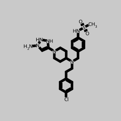 CS(=O)(=O)Nc1ccc(CN(CCc2ccc(Cl)cc2)C2CCN(C3=CN(N)NN3)CC2)cc1